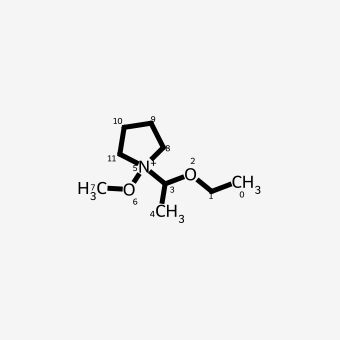 CCOC(C)[N+]1(OC)CCCC1